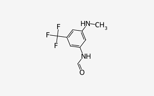 CNc1cc(NC=O)cc(C(F)(F)F)c1